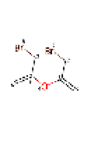 C=C(CBr)OC(=C)CBr